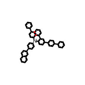 c1ccc(-c2ccc(-c3ccc(N(c4ccc(-c5ccccc5)cc4)c4ccc(-c5ccc6ccccc6c5)cc4)c(-c4ccccc4)c3)cc2)cc1